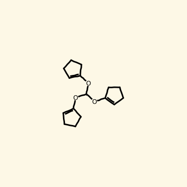 C1=C(O[C](OC2=CCCC2)OC2=CCCC2)CCC1